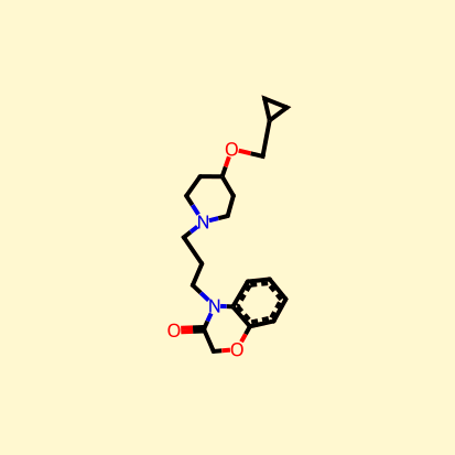 O=C1COc2ccccc2N1CCCN1CCC(OCC2CC2)CC1